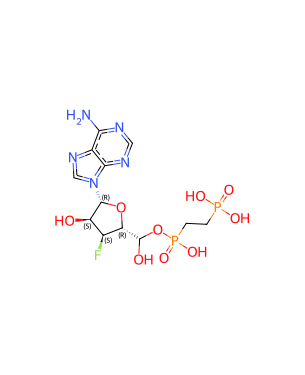 Nc1ncnc2c1ncn2[C@@H]1O[C@H](C(O)OP(=O)(O)CCP(=O)(O)O)[C@@H](F)[C@H]1O